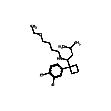 CCOCCCCNC(CC(C)C)C1(c2ccc(Cl)c(Cl)c2)CCC1